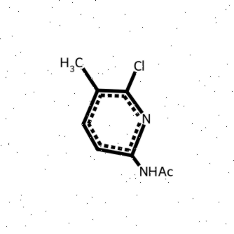 CC(=O)Nc1ccc(C)c(Cl)n1